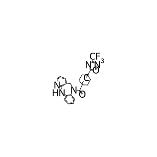 O=C(N1Cc2cccnc2Nc2ccccc21)C12CCC(c3nc(C(F)(F)F)no3)(CC1)CC2